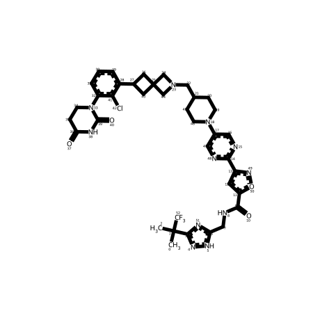 CC(C)(c1n[nH]c(CNC(=O)c2cc(-c3ncc(N4CCC(CN5CC6(CC(c7cccc(N8CCC(=O)NC8=O)c7Cl)C6)C5)CC4)cn3)no2)n1)C(F)(F)F